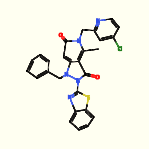 Cc1c2c(=O)n(-c3nc4ccccc4s3)n(Cc3ccccc3)c2cc(=O)n1Cc1cc(Cl)ccn1